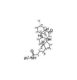 CC(C)NC(=O)CC[C@H](C)[C@@H]1CC[C@@H]2[C@H]3CC(=O)[C@H]4C[C@@H](C)CC[C@@]4(C)[C@@H]3CC[C@]21C